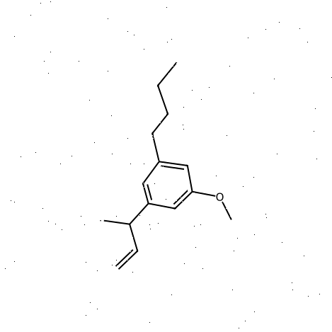 [CH2]C(C=C)c1cc(CCCC)cc(OC)c1